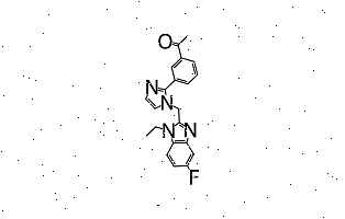 CCn1c(Cn2ccnc2-c2cccc(C(C)=O)c2)nc2cc(F)ccc21